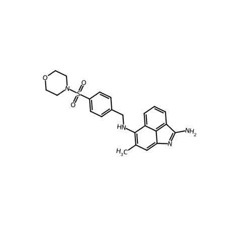 Cc1cc2c3c(cccc3c1NCc1ccc(S(=O)(=O)N3CCOCC3)cc1)C(N)=N2